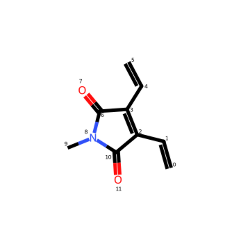 C=CC1=C(C=C)C(=O)N(C)C1=O